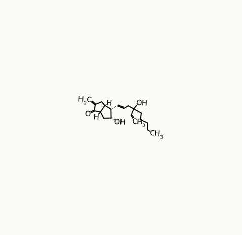 C=CC(O)(CC=C[C@H]1[C@@H]2CC(=C)C(=O)[C@H]2C[C@H]1O)CCCCC